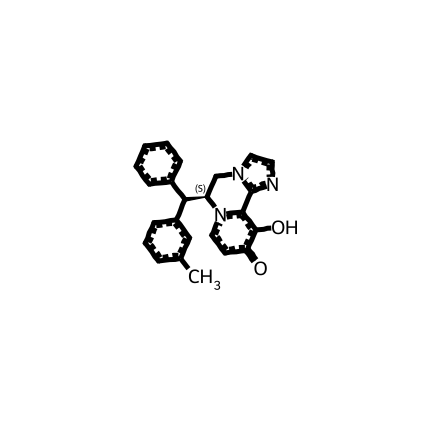 Cc1cccc(C(c2ccccc2)[C@H]2Cn3ccnc3-c3c(O)c(=O)ccn32)c1